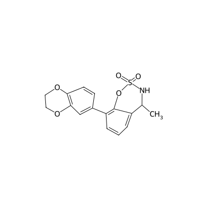 CC1NS(=O)(=O)Oc2c(-c3ccc4c(c3)OCCO4)cccc21